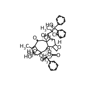 CC(=O)O[C@@]12CO[C@@H]1C[C@H](CC(C)(C)[Si](O)(c1ccccc1)c1ccccc1)[C@]1(C)[C@@H]2[C@H](OC(=O)c2ccccc2)[C@]2(O)C[C@H](O)C(C)=C(C(=O)[C@@H]1O)C2(C)C